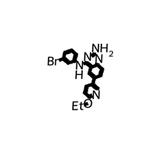 CCOc1ccc(-c2ccc3nc(N)nc(Nc4cccc(Br)c4)c3c2)cn1